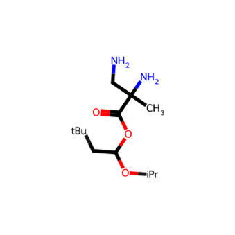 CC(C)OC(CC(C)(C)C)OC(=O)C(C)(N)CN